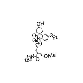 CCOC1=CC2C(C=C1)N(S(=O)(=O)/C=C/C=C(\C=C\OC)C(=O)NC(C)(C)C)C(=O)C21CCC(O)CC1